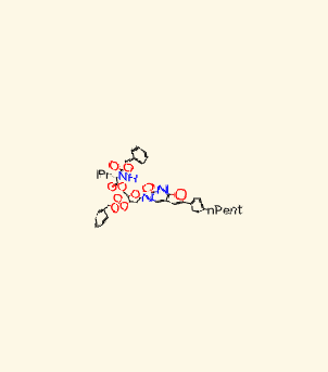 CCCCCc1ccc(-c2cc3cn([C@H]4C[C@H](OC(=O)OCc5ccccc5)[C@@H](COC(=O)[C@@H](NC(=O)OCc5ccccc5)C(C)C)O4)c(=O)nc3o2)cc1